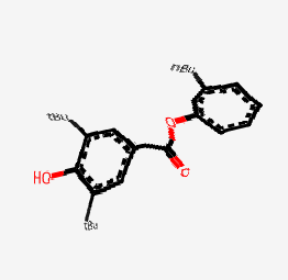 CCCCc1ccccc1OC(=O)c1cc(C(C)(C)C)c(O)c(C(C)(C)C)c1